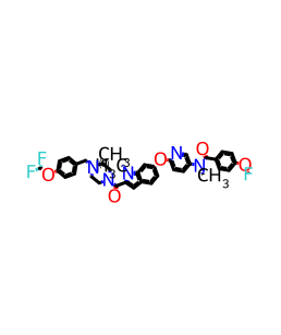 C[C@H]1CN(C(=O)c2cc3ccc(Oc4ccc(N(C)C(=O)c5ccc(OF)cc5)cn4)cc3n2C)CCN1Cc1ccc(OC(F)F)cc1